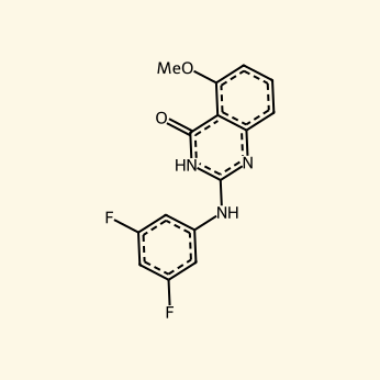 COc1cccc2nc(Nc3cc(F)cc(F)c3)[nH]c(=O)c12